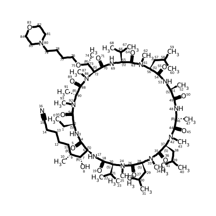 CC[C@@H]1NC(=O)[C@H]([C@H](O)[C@H](C)CCCCC#N)NC(=O)[C@H](C(C)C)N(C)C(=O)[C@H](CC(C)C)N(C)C(=O)[C@H](CC(C)C)N(C)C(=O)[C@@H](C)NC(=O)[C@H](C)NC(=O)[C@H](CC(C)C)N(C)C(=O)[C@H](C(C)C)NC(=O)[C@H]([C@@H](C)OCCCCN2CCOCC2)N(C)C(=O)[C@@H](C)N(C)C1=O